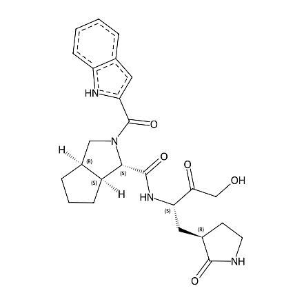 O=C1NCC[C@@H]1C[C@H](NC(=O)[C@@H]1[C@H]2CCC[C@H]2CN1C(=O)c1cc2ccccc2[nH]1)C(=O)CO